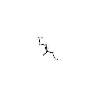 CC[CH]O/C(C)=N/OCCC